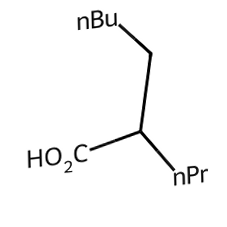 [CH2]CCCCC(CCC)C(=O)O